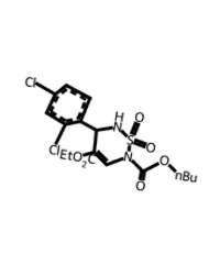 CCCCOC(=O)N1C=C(C(=O)OCC)C(c2ccc(Cl)cc2Cl)NS1(=O)=O